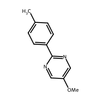 COc1cnc(-c2ccc(C)cc2)nc1